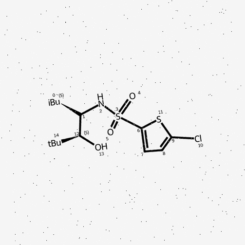 CC[C@H](C)C(NS(=O)(=O)c1ccc(Cl)s1)[C@@H](O)C(C)(C)C